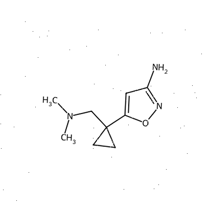 CN(C)CC1(c2cc(N)no2)CC1